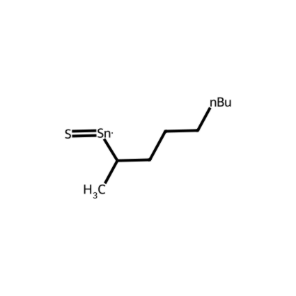 CCCCCCC[CH](C)[Sn]=[S]